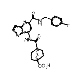 O=C(NCc1ccc(F)cc1)c1cc(NC(=O)C23CCC(C(=O)O)(CC2)CC3)n2nccc2n1